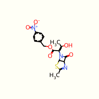 CC1=NC2C(=O)N(C(C(=O)OCc3ccc([N+](=O)[O-])cc3)=C(C)O)C2S1